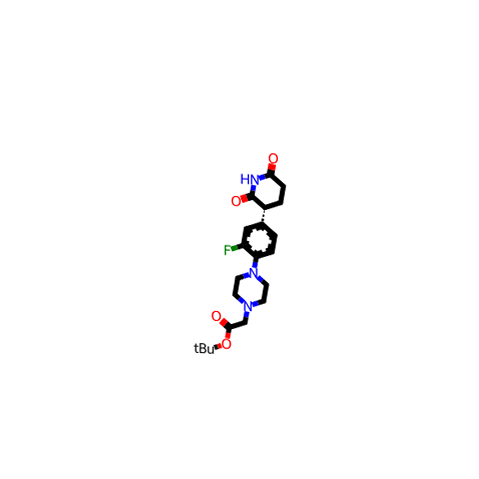 CC(C)(C)OC(=O)CN1CCN(c2ccc([C@H]3CCC(=O)NC3=O)cc2F)CC1